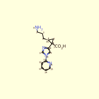 NCCC[C@H]1C[C@]1(C(=O)O)c1cn(-c2ccccn2)cn1